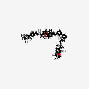 CN1CC[C@]23CC(=O)CC[C@@]2(O)[C@H]1Cc1ccc(C(=O)NCCc2nc4cccc(-c5cccc(CCN6CC[C@]78CC(=O)CC[C@@]7(O)[C@H]6Cc6ccc(C(=O)NCCc7ccc(-c9c[nH]c(=O)[nH]c9=O)cc7)c(O)c68)c5)c4[nH]2)c(O)c13